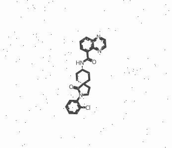 O=C(N[C@H]1CC[C@@]2(CCN(c3ccccc3Cl)C2=O)CC1)c1cccc2nccnc12